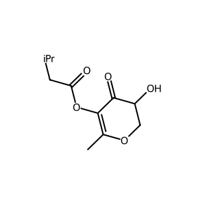 CC1=C(OC(=O)CC(C)C)C(=O)C(O)CO1